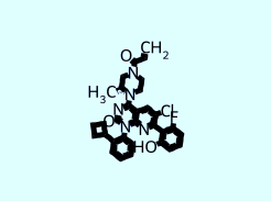 C=CC(=O)N1CCN(c2nc(=O)n(-c3ccccc3C3CCC3)c3nc(-c4c(O)cccc4F)c(Cl)cc23)[C@@H](C)C1